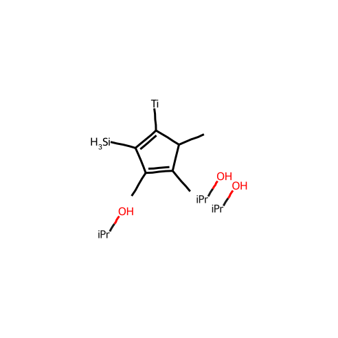 CC(C)O.CC(C)O.CC(C)O.CC1=C(C)C(C)[C]([Ti])=C1[SiH3]